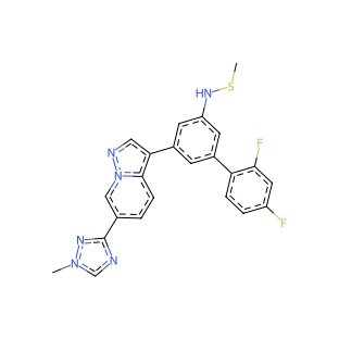 CSNc1cc(-c2ccc(F)cc2F)cc(-c2cnn3cc(-c4ncn(C)n4)ccc23)c1